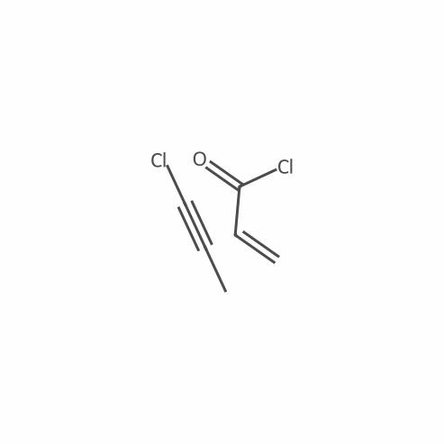 C=CC(=O)Cl.CC#CCl